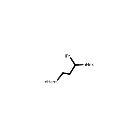 CCCCCCCCCC(CCCCCC)C(C)C